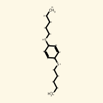 CCCCCSC1C=CC(SCCCCC)C=C1